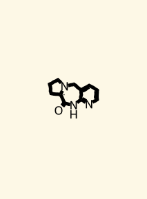 O=C1Nc2ncccc2CN2CCC[C]12